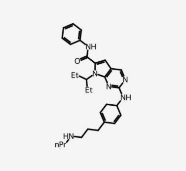 CCCNCCCC1=CCC(Nc2ncc3cc(C(=O)Nc4ccccc4)n(C(CC)CC)c3n2)C=C1